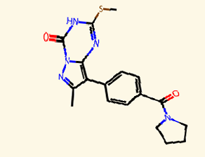 CSc1nc2c(-c3ccc(C(=O)N4CCCC4)cc3)c(C)nn2c(=O)[nH]1